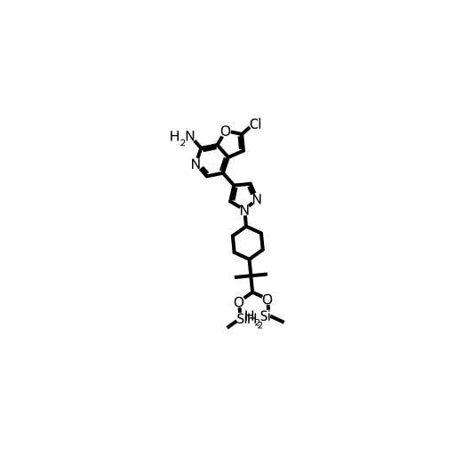 C[SiH2]OC(O[SiH2]C)C(C)(C)C1CCC(n2cc(-c3cnc(N)c4oc(Cl)cc34)cn2)CC1